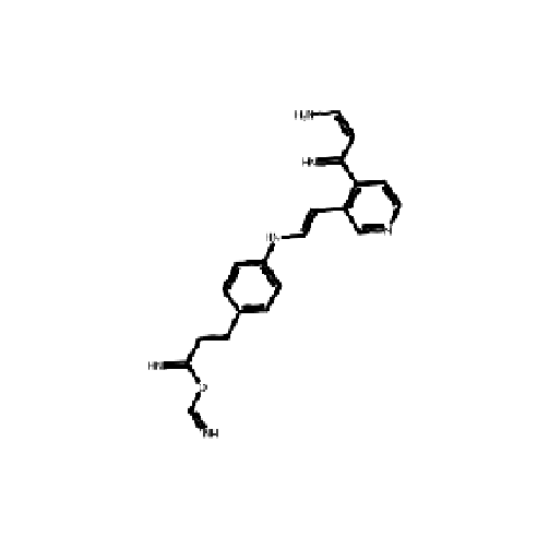 N=COC(=N)CCc1ccc(N/C=C/c2cnccc2C(=N)/C=C\N)cc1